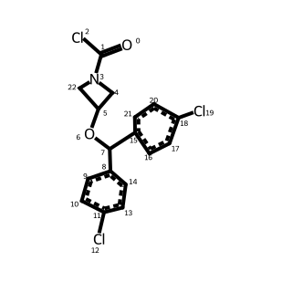 O=C(Cl)N1CC(OC(c2ccc(Cl)cc2)c2ccc(Cl)cc2)C1